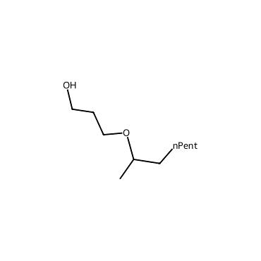 CCCCCCC(C)OCCCO